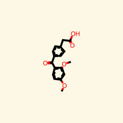 COc1ccc(C(=O)c2ccc(CC(=O)O)cc2)c(OC)c1